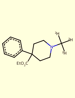 [2H]C([2H])([2H])N1CCC(C(=O)OCC)(c2ccccc2)CC1